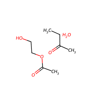 CC(=O)OCCO.CCC(C)=O.O